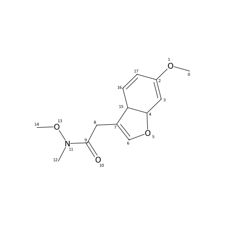 COC1=CC2OC=C(CC(=O)N(C)OC)C2C=C1